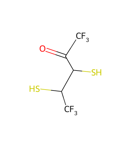 O=C(C(S)C(S)C(F)(F)F)C(F)(F)F